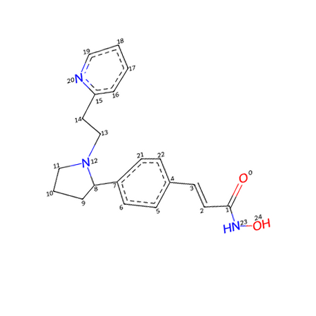 O=C(C=Cc1ccc(C2CCCN2CCc2ccccn2)cc1)NO